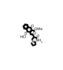 COC1OC(C(CN2CCCC2)C(N)=O)=CC2=C1C(=O)c1ccccc1C2=O.Cl